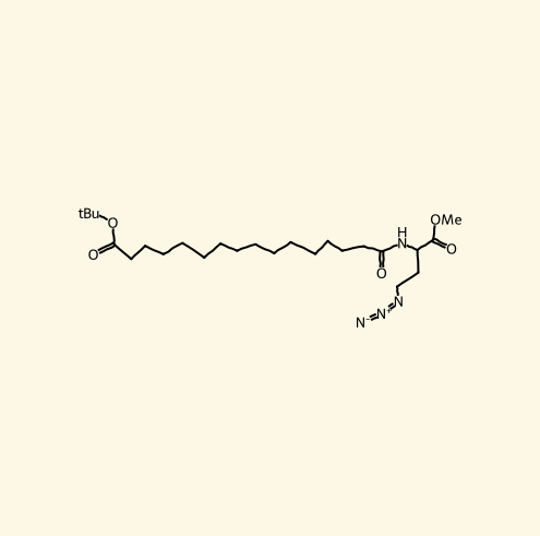 COC(=O)C(CCN=[N+]=[N-])NC(=O)CCCCCCCCCCCCCCC(=O)OC(C)(C)C